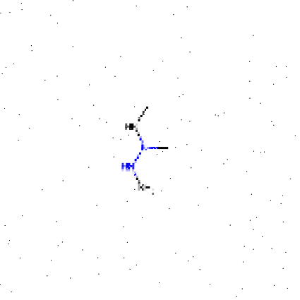 BNN(C)BC